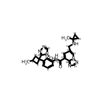 CC1CC(c2cccc(NC(=O)c3cc(CNC4(C)CC4)cn4ncnc34)c2)(c2nncn2C)C1